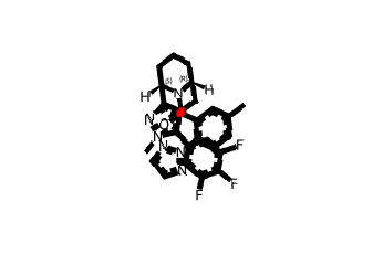 Cc1ccc(-n2nccn2)c(C(=O)N2[C@@H]3CCC[C@H]2c2nn(C)c(-c4cc(F)c(F)c(F)c4)c2C3)c1